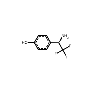 N[C@H](c1ccc(O)cc1)C(F)(F)F